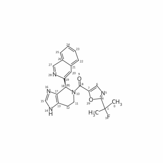 CC(C)(F)c1ncc(C(=O)N2CCc3[nH]cnc3[C@H]2c2cc3ccccc3cn2)o1